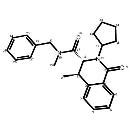 C[C@@H]1c2ccccc2C(=O)N(C2CCCC2)[C@H]1C(=O)N(C)Cc1ccccc1